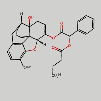 COc1ccc2c3c1O[C@H]1C(OC(=O)[C@@H](OC(=O)CCC(=O)O)c4ccccc4)=CC[C@@]4(O)[C@H](CCC[C@]314)C2